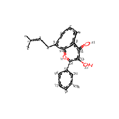 CC(C)=CCc1cccc2c(=O)c(O)c(-c3ccccc3)oc12